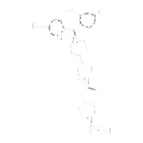 CB(O)N1CCC(CC(=O)N2CCC(C3CC[N+](=C4c5ccc(Cl)cc5CCc5cc(Br)cnc54)CC3)CC2)CC1